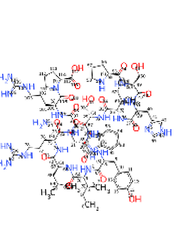 CC[C@H](C)[C@H](NC(=O)[C@H](Cc1ccc(O)cc1)NC(=O)[C@H](CCCCN)NC(=O)[C@H](CO)NC(=O)[C@@H](NC(=O)[C@H](Cc1c[nH]cn1)NC(=O)[C@H](CO)NC(=O)[C@@H]1CCCN1)[C@@H](C)CC)C(=O)N[C@@H](CC(C)C)C(=O)N[C@@H](CCCNC(=N)N)C(=O)N[C@@H](Cc1c[nH]c2ccccc12)C(=O)N[C@@H](CCCNC(=N)N)C(=O)N1CCC[C@H]1C(=O)O